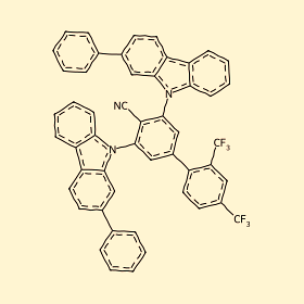 N#Cc1c(-n2c3ccccc3c3ccc(-c4ccccc4)cc32)cc(-c2ccc(C(F)(F)F)cc2C(F)(F)F)cc1-n1c2ccccc2c2ccc(-c3ccccc3)cc21